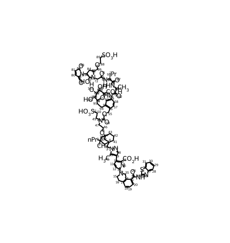 CCCC1(C)CC2(Cn3ncc(-c4ccc(N5CCc6cccc(C(=O)Nc7nc8ccccc8s7)c6C5)nc4C(=O)O)c3C)CCCC(OCCN(CCS(=O)(=O)O)C(=O)OCc3ccc(NC(=O)[C@H](C)NC(=O)[C@@H](NC(=O)CN4C(O)[C@@H](N5C(=O)C=CC5=O)C[C@H]4COCCS(=O)(=O)O)C(C)C)cc3CC[C@@H]3O[C@H](C(=O)O)[C@@H](O)[C@H](O)[C@H]3O)(C1)C2